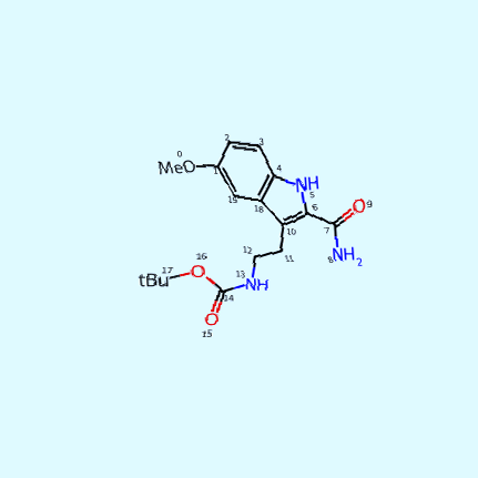 COc1ccc2[nH]c(C(N)=O)c(CCNC(=O)OC(C)(C)C)c2c1